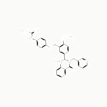 COc1ccc(C2Nc3ccccc3C(=O)N2Cc2cccnc2)cc1COc1ccc(NC(C)=O)cc1